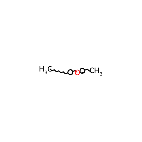 CCCCCCCCC1CCC(COC2C=CC(CCC)CC2)CC1